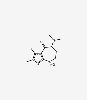 Cc1sc2c(c1C)C(=O)C(N(C)C)CCS2.Cl